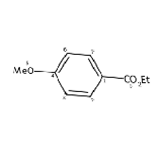 CCOC(=O)c1ccc(OC)cc1